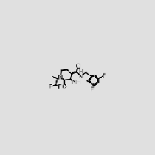 CC(C(F)F)N1CC/C(=C(\Cl)NCc2cc(F)cc(F)c2)C(=N)C1=O